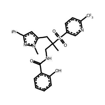 CC(C)c1cc(CC(C)(CNC(=O)c2ccccc2O)S(=O)(=O)c2ccc(C(F)(F)F)nc2)n(C)n1